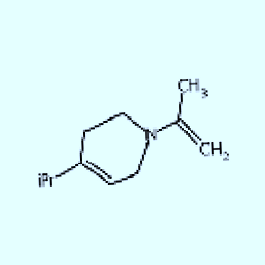 C=C(C)N1CC=C(C(C)C)CC1